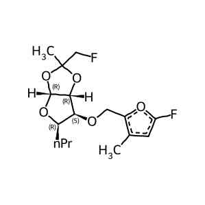 CCC[C@H]1O[C@@H]2OC(C)(CF)O[C@@H]2[C@H]1OCc1oc(F)cc1C